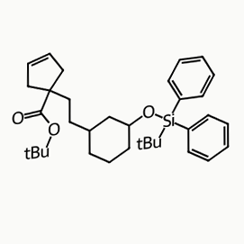 CC(C)(C)OC(=O)C1(CCC2CCCC(O[Si](c3ccccc3)(c3ccccc3)C(C)(C)C)C2)CC=CC1